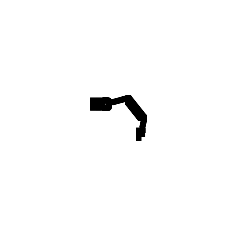 O/C=C\F